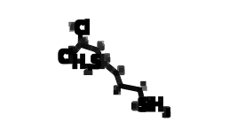 [SiH3]CCC[SiH2]CC(Cl)Cl